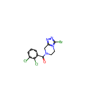 O=C(c1cccc(Cl)c1Cl)N1CCn2c(Br)nnc2C1